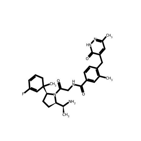 Cc1cc(Cc2ccc(C(=O)NCC(=O)N3[C@@H]([C@H](C)N)CC[C@H]3C3(C)C=C(F)C=CC3)cc2C)c(=O)[nH]n1